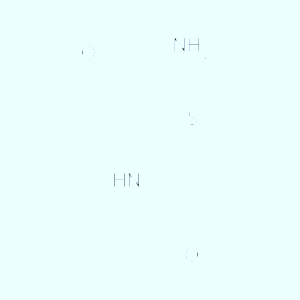 CC1(C(N)=O)NC(=O)CS1